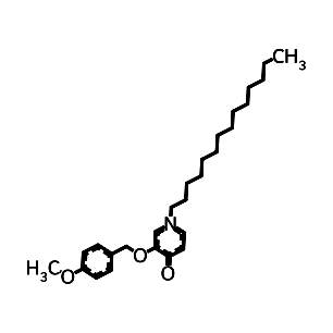 CCCCCCCCCCCCCCn1ccc(=O)c(OCc2ccc(OC)cc2)c1